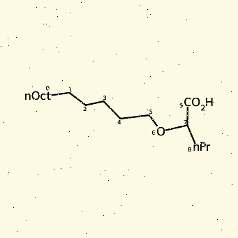 CCCCCCCCCCCCCOC(CCC)C(=O)O